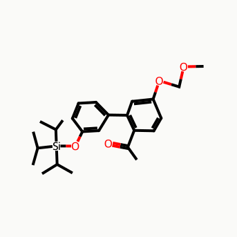 COCOc1ccc(C(C)=O)c(-c2cccc(O[Si](C(C)C)(C(C)C)C(C)C)c2)c1